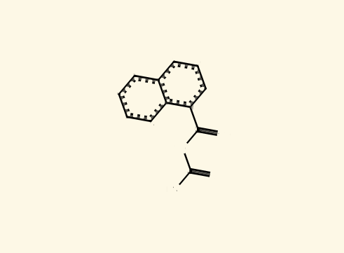 NC(=O)OC(=O)c1cccc2ccccc12